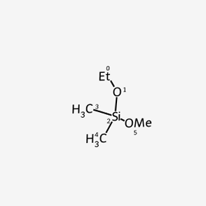 CCO[Si](C)(C)OC